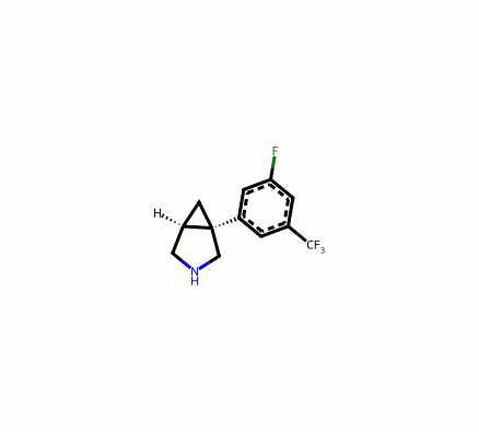 Fc1cc(C(F)(F)F)cc([C@]23CNC[C@H]2C3)c1